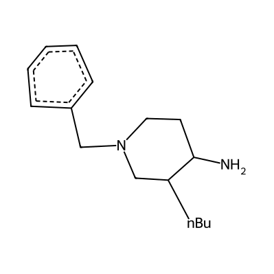 CCCCC1CN(Cc2ccccc2)CCC1N